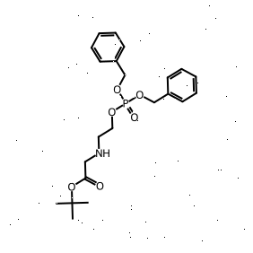 CC(C)(C)OC(=O)CNCCOP(=O)(OCc1ccccc1)OCc1ccccc1